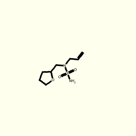 C=CCN(CC1CCCO1)S(N)(=O)=O